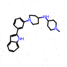 CN1CCC(NC2CCN(c3cccc(-c4cc5ccccc5[nH]4)c3)CC2)CC1